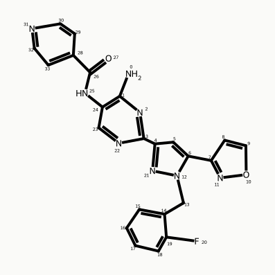 Nc1nc(-c2cc(-c3ccon3)n(Cc3ccccc3F)n2)ncc1NC(=O)c1ccncc1